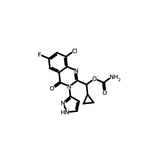 NC(=O)OC(c1nc2c(Cl)cc(F)cc2c(=O)n1-c1cc[nH]n1)C1CC1